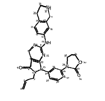 C=CCn1c(=O)c2cnc(Nc3ccc4c(c3)CNCC4)nc2n1-c1ccnc(N2CCOC2=O)c1